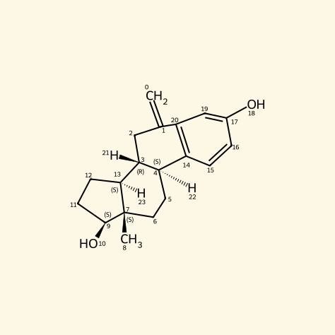 C=C1C[C@@H]2[C@H](CC[C@]3(C)[C@@H](O)CC[C@@H]23)c2ccc(O)cc21